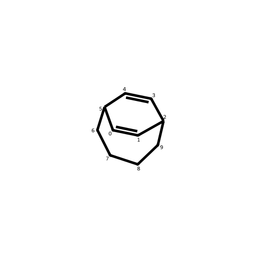 C1=CC2C=CC1CCCC2